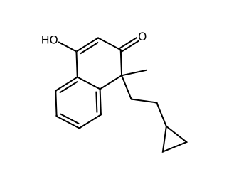 CC1(CCC2CC2)C(=O)C=C(O)c2ccccc21